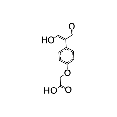 O=C/C(=C/O)c1ccc(OCC(=O)O)cc1